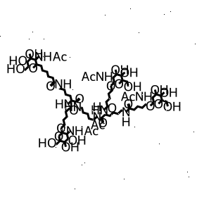 CC(=O)NC1C(CCCCCC(=O)NCCCCC(NC(=O)CCCCOC2OC(CO)C(O)C(O)C2NC(C)=O)C(=O)NCCCCC(NC(=O)C(CCCCNC(=O)CCCCOC2OC(CO)C(O)C(O)C2NC(C)=O)NC(=O)CCCCOC2OC(CO)C(O)C(O)C2NC(C)=O)C(C)=O)OC(CO)C(O)C1O